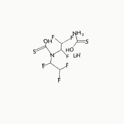 NC(O)=S.OC(=S)N(C(F)C(F)F)C(F)C(F)F.[LiH]